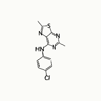 Cc1nc(Nc2ccc(Cl)cc2)c2nc(C)sc2n1